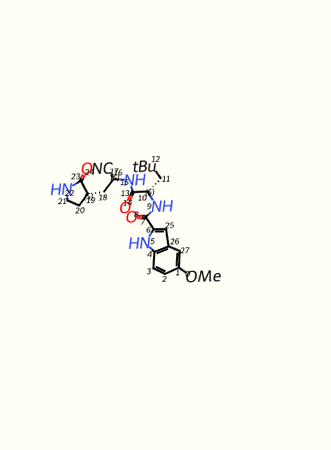 COc1ccc2[nH]c(C(=O)N[C@@H](CC(C)(C)C)C(=O)N[C@H](C#N)C[C@@H]3CCNC3=O)cc2c1